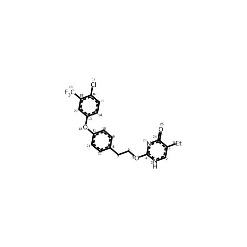 CCc1c[nH]c(OCCc2ccc(Oc3ccc(Cl)c(C(F)(F)F)c3)cc2)nc1=O